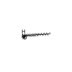 CCCCCCCCCCCCCCCCCCC=C1NCCO1